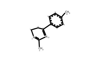 CC1=NCCC(c2ccc(C)cc2)=N1